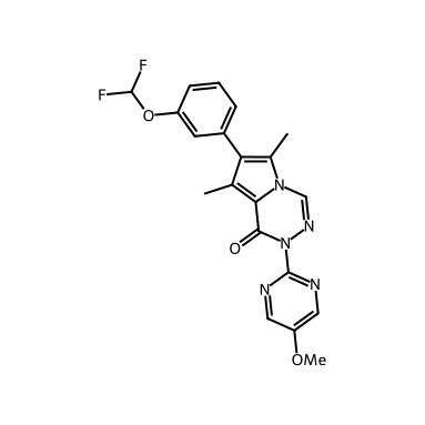 COc1cnc(-n2ncn3c(C)c(-c4cccc(OC(F)F)c4)c(C)c3c2=O)nc1